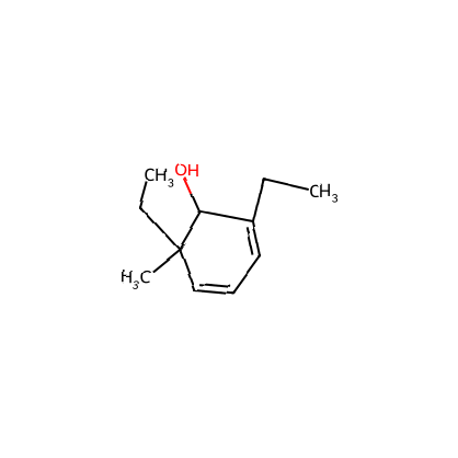 CCC1=CC=CC(C)(CC)C1O